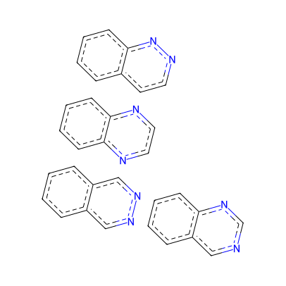 c1ccc2cnncc2c1.c1ccc2nccnc2c1.c1ccc2ncncc2c1.c1ccc2nnccc2c1